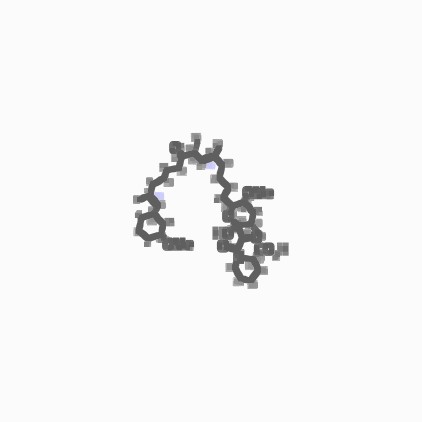 CO[C@H]1CCC[C@@H](/C=C(\C)CCCCC(=O)[C@@H](C)/C=C(\C)CCCCC2O[C@@](O)(C(=O)C(=O)N3CCCC[C@H]3C(=O)O)[C@H](C)C[C@@H]2OC)C1